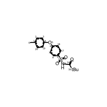 Cc1ccc(Oc2ccc(S(=O)(=O)NC(=O)C(C)(C)C)cc2)cc1